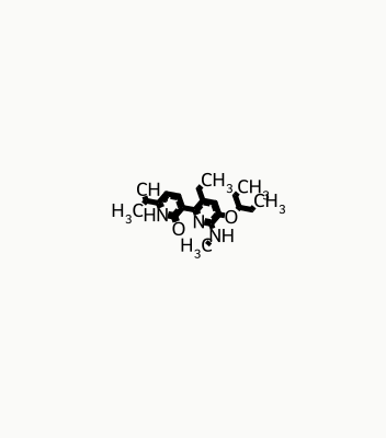 CCc1cc(OC(CC)CC)c(NC)nc1-c1ccc(C(C)C)[nH]c1=O